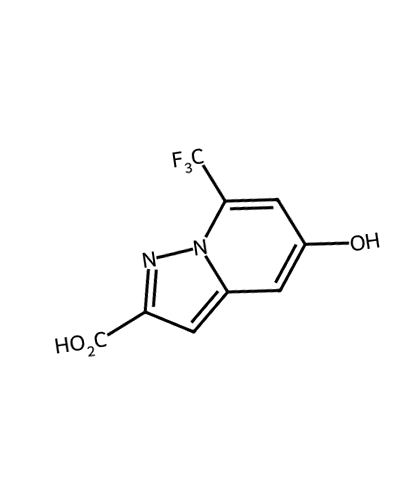 O=C(O)c1cc2cc(O)cc(C(F)(F)F)n2n1